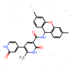 Cc1ccc2c(c1)Oc1cc(C)ccc1C2NC(=O)c1cc(-c2cc[nH]c(=O)c2)c(C(F)(F)F)[nH]c1=O